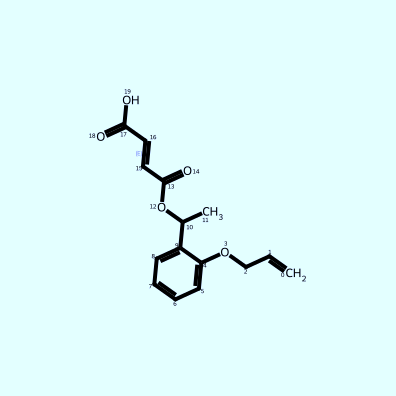 C=CCOc1ccccc1C(C)OC(=O)/C=C/C(=O)O